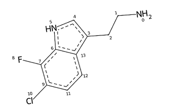 NCCc1c[nH]c2c(F)c(Cl)ccc12